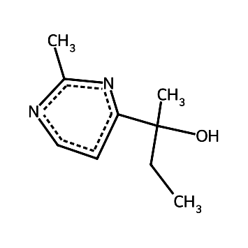 CCC(C)(O)c1ccnc(C)n1